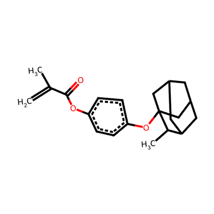 C=C(C)C(=O)Oc1ccc(OC23CC4CC(CC(C4)C2C)C3)cc1